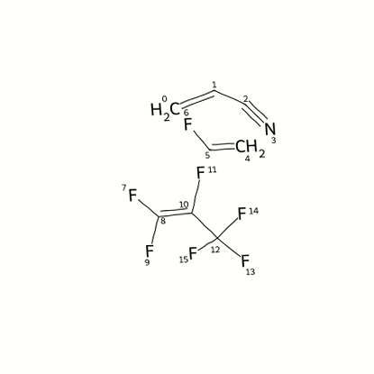 C=CC#N.C=CF.FC(F)=C(F)C(F)(F)F